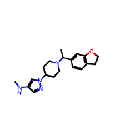 CNc1cnn(C2CCN(C(C)c3ccc4c(c3)OCC4)CC2)c1